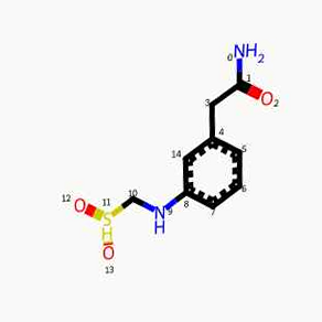 NC(=O)Cc1cccc(NC[SH](=O)=O)c1